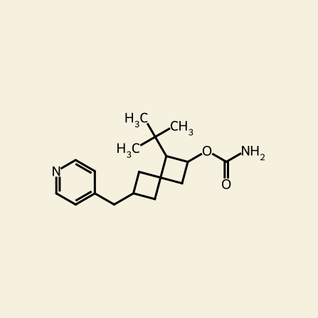 CC(C)(C)C1C(OC(N)=O)CC12CC(Cc1ccncc1)C2